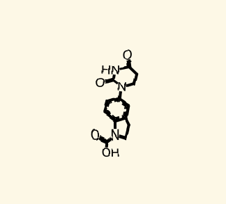 O=C1CCN(c2ccc3c(c2)CCN3C(=O)O)C(=O)N1